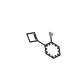 Brc1ccccc1C1=CCC1